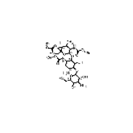 CC1C(NC(=O)OC(C)(C)C)[C@@H](O[C@@H]2C(NC(=O)OC(C)(C)C)C[C@@H](N)C(OC3O[C@H](CO)C(O)C(N)[C@H]3O)C2O)OC2(CNC(=O)OC(C)(C)C)C[C@@H]12